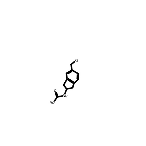 O=C(O)NC1Cc2ccc(CCl)cc2C1